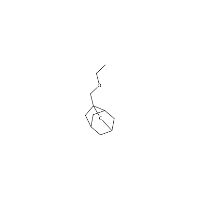 CCOCC12CC3CC(CC1C3)C2